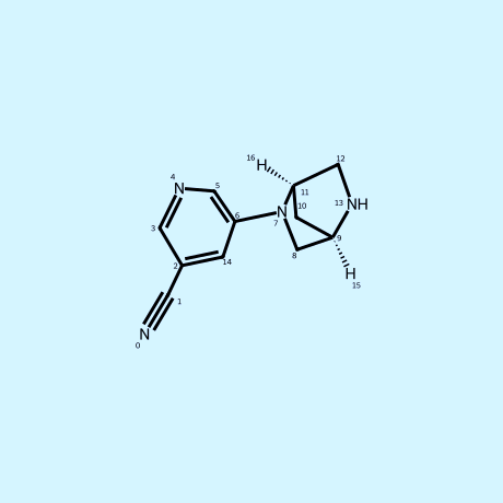 N#Cc1cncc(N2C[C@H]3C[C@@H]2CN3)c1